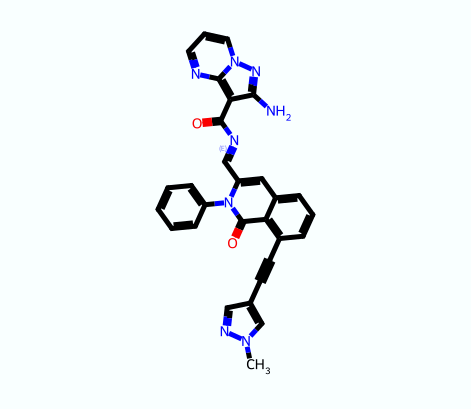 Cn1cc(C#Cc2cccc3cc(/C=N/C(=O)c4c(N)nn5cccnc45)n(-c4ccccc4)c(=O)c23)cn1